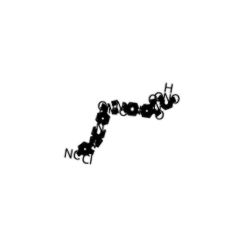 COC1(CN2CCN(C(=O)c3ccc(N4CCC5(CC4)CCN(c4ccc(C#N)c(Cl)c4C)C5)cc3)CC2)CCN(c2ccc3c(c2)C(=O)N(C2CCC(=O)NC2=O)C3=O)CC1